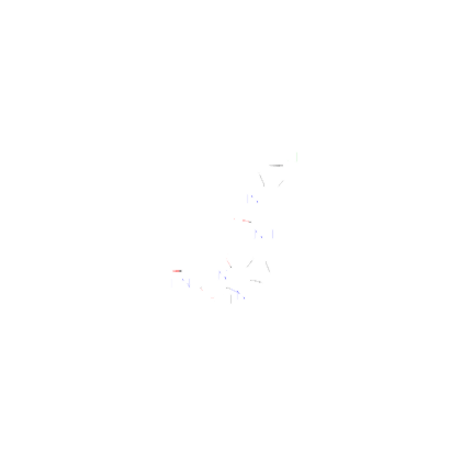 Cc1nc2cccc(CNC(=O)CNc3ccc(Cl)cc3)c2c(=O)n1C1CCC(=O)NC1=O